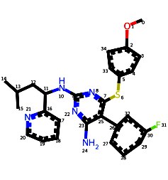 COc1ccc(Sc2nc(NC(CC(C)C)c3ccccn3)nc(N)c2-c2cccc(F)c2)cc1